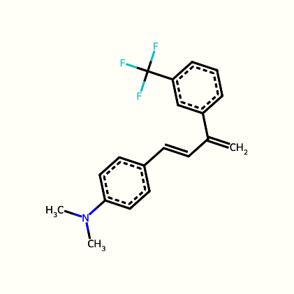 C=C(/C=C/c1ccc(N(C)C)cc1)c1cccc(C(F)(F)F)c1